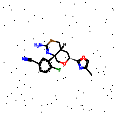 Cc1coc([C@H]2C[C@H]3CSC(N)=N[C@@]3(c3cc(C#N)ccc3F)CO2)n1